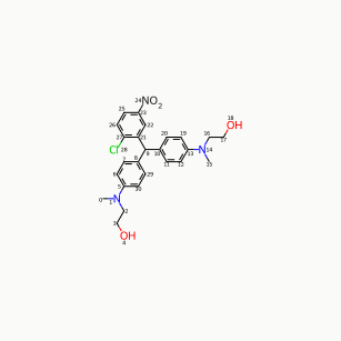 CN(CCO)c1ccc(C(c2ccc(N(C)CCO)cc2)c2cc([N+](=O)[O-])ccc2Cl)cc1